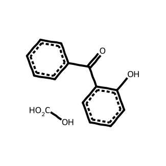 O=C(O)O.O=C(c1ccccc1)c1ccccc1O